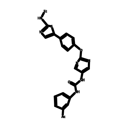 CCNc1ncc(-c2ccc(Oc3ncc(NC(=O)Nc4cccc(C(C)=O)c4)cn3)cc2)s1